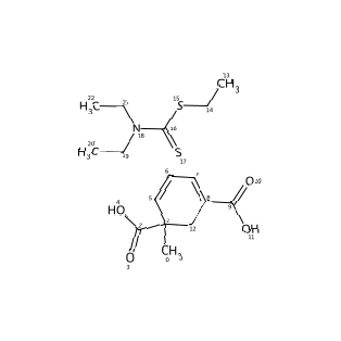 CC1(C(=O)O)C=CC=C(C(=O)O)C1.CCSC(=S)N(CC)CC